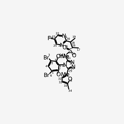 COc1c(Br)cc(Br)c(OC)c1-n1c(NS(=O)(=O)C(C)C(C)c2ncc(F)cn2)nnc1-c1ccc(C)o1